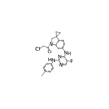 Cc1ccc(Nc2ncc(F)c(Nc3ccc4c(c3)N(C(=O)CCl)CC43CC3)n2)cc1